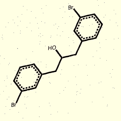 OC(Cc1cccc(Br)c1)Cc1cccc(Br)c1